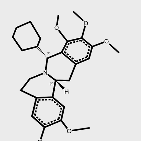 COc1cc2c(cc1OC)[C@H]1Cc3cc(OC)c(OC)c(OC)c3[C@@H](C3CCCCC3)N1CC2